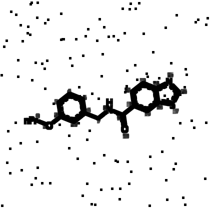 CCCOc1cccc(CNC(=O)c2ccc3ncsc3c2)c1